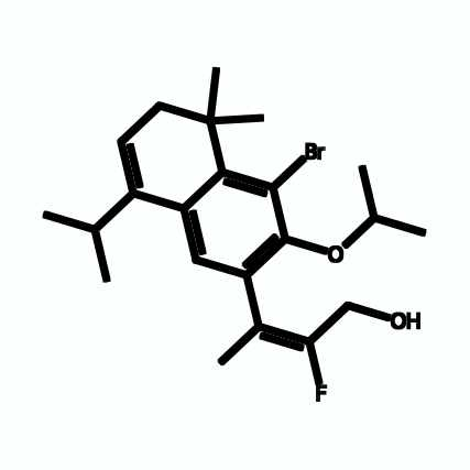 C/C(=C(\F)CO)c1cc2c(c(Br)c1OC(C)C)C(C)(C)CC=C2C(C)C